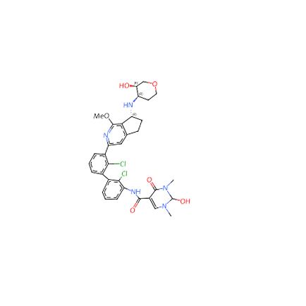 COc1nc(-c2cccc(-c3cccc(NC(=O)C4=CN(C)C(O)N(C)C4=O)c3Cl)c2Cl)cc2c1[C@H](N[C@@H]1CCOC[C@@H]1O)CC2